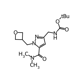 CN(C)C(=O)c1cc(CNC(=O)OC(C)(C)C)nn1CC1COC1